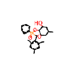 Cc1cc(C)c(C(=O)P(=O)(OC2CCC(C)CC2O)c2ccccc2)c(C)c1